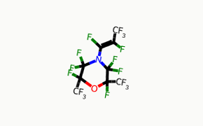 FC(=C(F)C(F)(F)F)N1C(F)(F)C(F)(C(F)(F)F)OC(F)(C(F)(F)F)C1(F)F